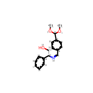 CCOC(OCC)c1ccc(/C=N\[C@@H](CO)c2ccccc2)cc1